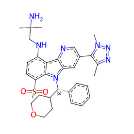 Cc1nnn(C)c1-c1cnc2c3c(NCC(C)(C)N)ccc(S(C)(=O)=O)c3n([C@H](c3ccccc3)C3CCOCC3)c2c1